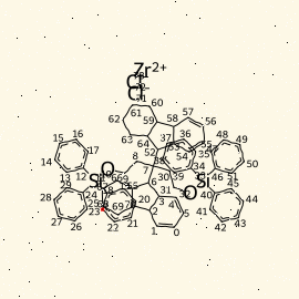 C1=CC2C(C=C1)C(C(CCO[Si](c1ccccc1)(c1ccccc1)c1ccccc1)(CCO[Si](c1ccccc1)(c1ccccc1)c1ccccc1)C1C3C=CC=CC3C3CCCCC31)C1CCCCC21.[Cl-].[Cl-].[Zr+2]